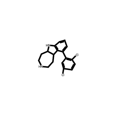 Clc1ccc(Cl)c(-c2cccc3c2C2CCNCCC2N3)c1